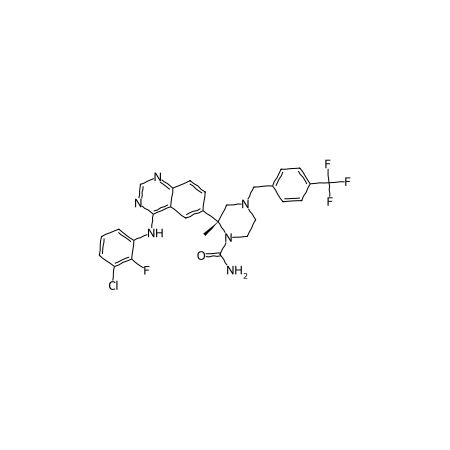 C[C@@]1(c2ccc3ncnc(Nc4cccc(Cl)c4F)c3c2)CN(Cc2ccc(C(F)(F)F)cc2)CCN1C(N)=O